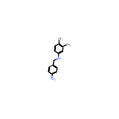 Cc1cc(NCc2ccc(N)cc2)ccc1C(F)(F)F